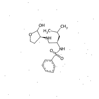 CC(C)C[C@H](CN[C@H]1CCOC1O)NS(=O)(=O)c1ccccc1